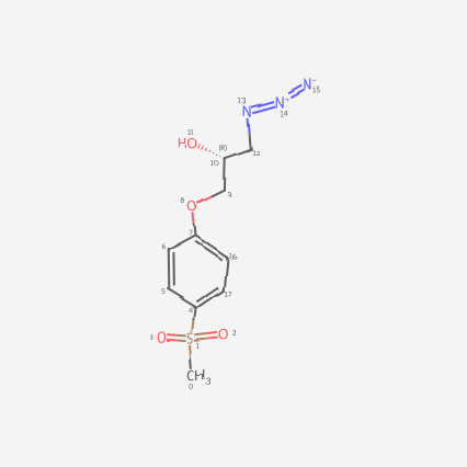 CS(=O)(=O)c1ccc(OC[C@H](O)CN=[N+]=[N-])cc1